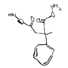 CC(C)(C)OC(=O)CC(C)(C(=O)ON)c1ccccc1